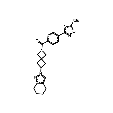 CC(C)(C)c1nc(-c2ccc(C(=O)N3CC4(CC(n5cc6c(n5)CCCC6)C4)C3)cc2)no1